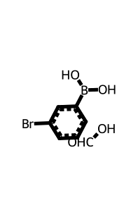 O=CO.OB(O)c1cccc(Br)c1